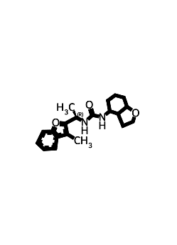 Cc1c([C@@H](C)NC(=O)NC2CCCC3OCCC23)oc2ccccc12